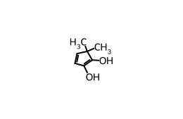 CC1(C)C=CC(O)=C1O